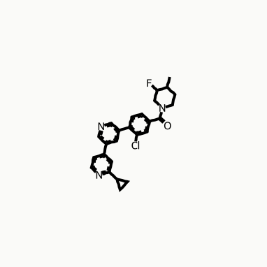 CC1CCN(C(=O)c2ccc(-c3cncc(-c4ccnc(C5CC5)c4)c3)c(Cl)c2)CC1F